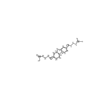 CN(C)CCCOc1ccc2c(c1)Cc1cc(OCCCN(C)C)ccc1-2